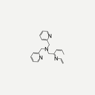 C=C/N=C(\C=C/C)CN(Cc1ccccn1)Cc1ccccn1